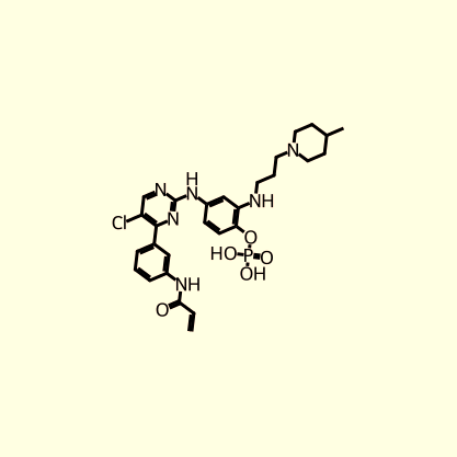 C=CC(=O)Nc1cccc(-c2nc(Nc3ccc(OP(=O)(O)O)c(NCCCN4CCC(C)CC4)c3)ncc2Cl)c1